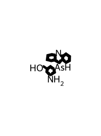 Nc1cc(CO)cc([AsH]c2c3ccccc3nc3ccccc23)c1